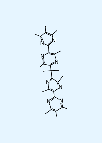 Cc1nc(C(C)(C)c2nc(C)c(-c3nc(C)c(C)c(C)n3)nc2C)c(C)nc1-c1nc(C)c(C)c(C)n1